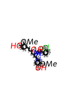 COc1cc(C=CC(=O)CC(C=Cc2ccc(O)c(OC)c2)=NNC(=O)c2ccccc2Cl)ccc1O